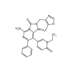 Cc1ocnc1Cn1[nH]c2c(-c3ccc(=O)n(CC(F)(F)F)c3)c(-c3ccccc3)nc(N)[n+]2c1=O